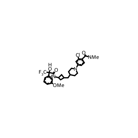 CNC(=O)c1ccc(N2CCC(CC3CC(NC(=O)C(O)(c4cccc(OC)c4)C(F)(F)F)C3)CC2)cc1Cl